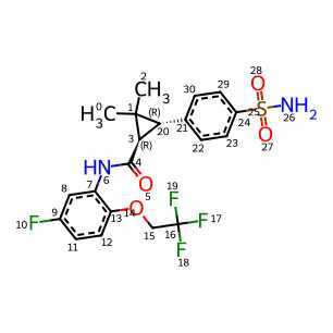 CC1(C)[C@H](C(=O)Nc2cc(F)ccc2OCC(F)(F)F)[C@H]1c1ccc(S(N)(=O)=O)cc1